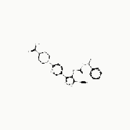 CC(OC(=O)Nc1c(C#N)noc1-c1ccc(N2CCC(C(=O)O)CC2)nc1)c1ccccc1